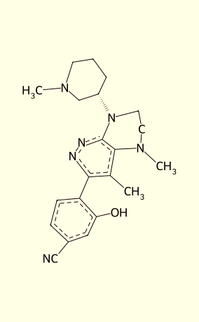 Cc1c(-c2ccc(C#N)cc2O)nnc2c1N(C)CCN2[C@H]1CCCN(C)C1